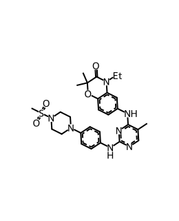 CCN1C(=O)C(C)(C)Oc2ccc(Nc3nc(Nc4ccc(N5CCN(S(C)(=O)=O)CC5)cc4)ncc3C)cc21